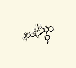 CC(C)c1nc2c(c(-c3ccc(F)cc3)c1C#COC(=O)CC(O)C[PH](=O)O)CCCC2